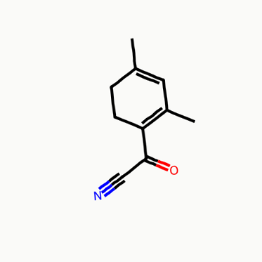 CC1=CC(C)=C(C(=O)C#N)CC1